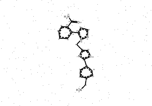 NCc1ccc(-c2nc(Cn3nccc3-c3ccccc3C(N)=O)cs2)cc1